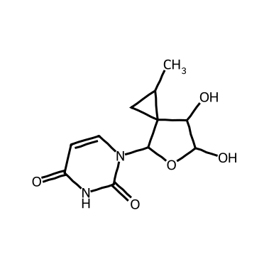 CC1CC12C(O)C(O)OC2n1ccc(=O)[nH]c1=O